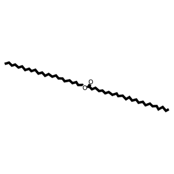 CCCCCCCCCCCCCCCCCCCCCCCCOC(=O)CCCCCCCCCCCCCCCCCCCCCCCC